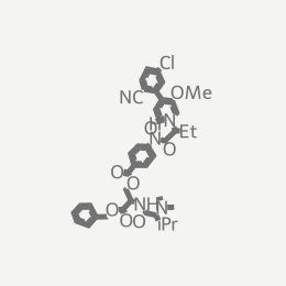 CCC(C(=O)Nc1ccc(C(=O)OCC(NC(=O)C(C(C)C)N(C)C)C(=O)OCc2ccccc2)cc1)n1cc(OC)c(-c2cc(Cl)ccc2C#N)cc1=O